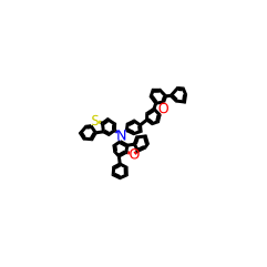 c1ccc(-c2cccc3c2oc2ccc(-c4ccc(N(c5ccc6sc7ccccc7c6c5)c5ccc(-c6ccccc6)c6oc7ccccc7c56)cc4)cc23)cc1